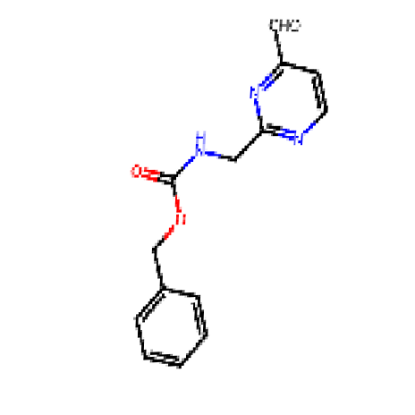 O=Cc1ccnc(CNC(=O)OCc2ccccc2)n1